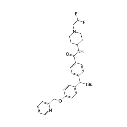 CC(C)(C)C(c1ccc(OCc2ccccn2)cc1)c1ccc(C(=O)NC2CCN(CC(F)F)CC2)cc1